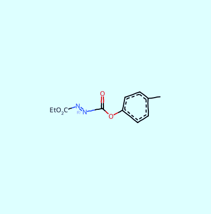 CCOC(=O)/N=N/C(=O)Oc1ccc(C)cc1